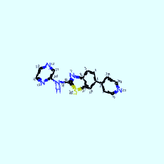 c1cc(-c2ccc3nc(Nc4cnccn4)sc3c2)ccn1